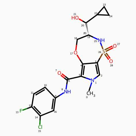 Cn1cc2c(c1C(=O)Nc1ccc(F)c(Cl)c1)OC[C@H](C(O)C1CC1)NS2(=O)=O